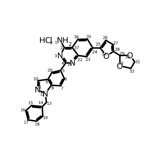 Cl.Nc1nc(-c2ccc3c(cnn3Cc3ccccc3)c2)nc2cc(-c3ccc(C4OCCO4)o3)ccc12